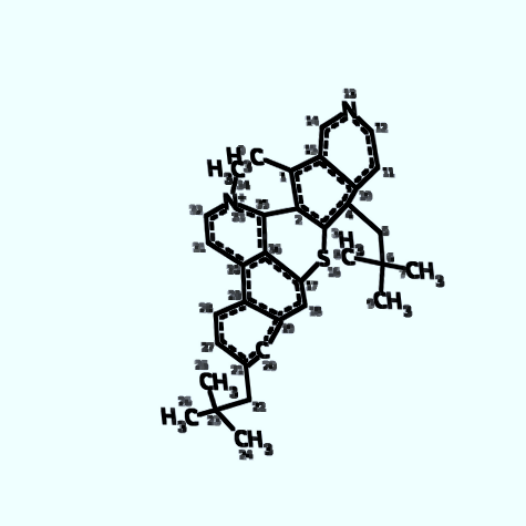 Cc1c2c(c(CC(C)(C)C)c3ccncc13)Sc1cc3cc(CC(C)(C)C)ccc3c3cc[n+](C)c-2c13